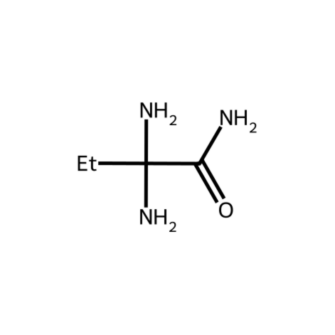 CCC(N)(N)C(N)=O